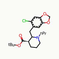 CCCN1CCC[C@@H](C(=O)OC(C)(C)C)C1Cc1cc2c(cc1Cl)OCO2